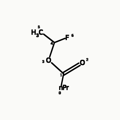 CCCC(=O)OC(C)F